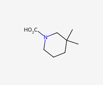 CC1(C)CCCN(C(=O)O)C1